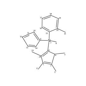 CC1=C(C)C(C)C([Si](C)(c2ccccc2)c2ccccc2C)=C1C